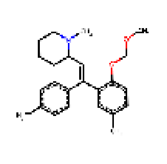 COCOc1ccc(C)cc1C(=CC1CCCCN1C)c1ccc(C)cc1